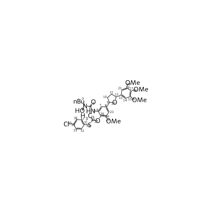 CCCCN(O)C(=O)Nc1cc(C2CCC(c3cc(OC)c(OC)c(OC)c3)O2)cc(OC)c1OC(C)Sc1ccc(Cl)cc1